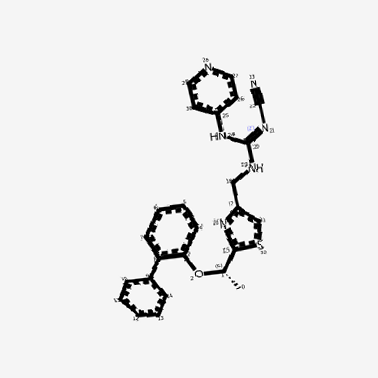 C[C@H](Oc1ccccc1-c1ccccc1)c1nc(CN/C(=N/C#N)Nc2ccncc2)cs1